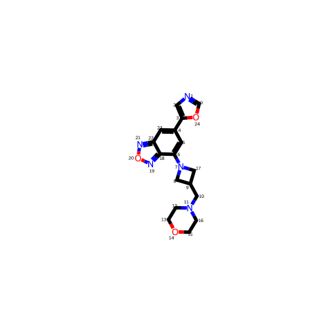 c1ncc(-c2cc(N3CC(CN4CCOCC4)C3)c3nonc3c2)o1